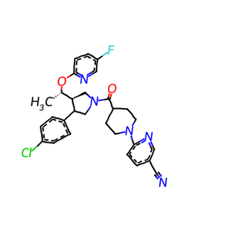 C[C@H](Oc1ccc(F)cn1)[C@H]1CN(C(=O)C2CCN(c3ccc(C#N)cn3)CC2)CC1c1ccc(Cl)cc1